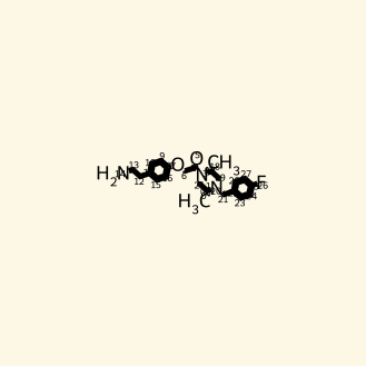 C[C@@H]1CN(C(=O)COc2ccc(CCN)cc2)[C@@H](C)CN1Cc1ccc(F)cc1